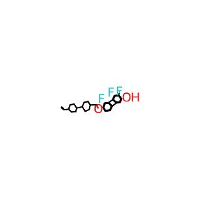 C=CC1CCC(C2CCC(COc3ccc4c(c3F)-c3c-4cc(O)c(F)c3F)CC2)CC1